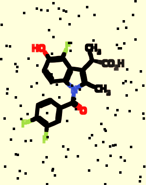 Cc1c([C@@H](C)C(=O)O)c2c(F)c(O)ccc2n1C(=O)c1ccc(F)c(F)c1